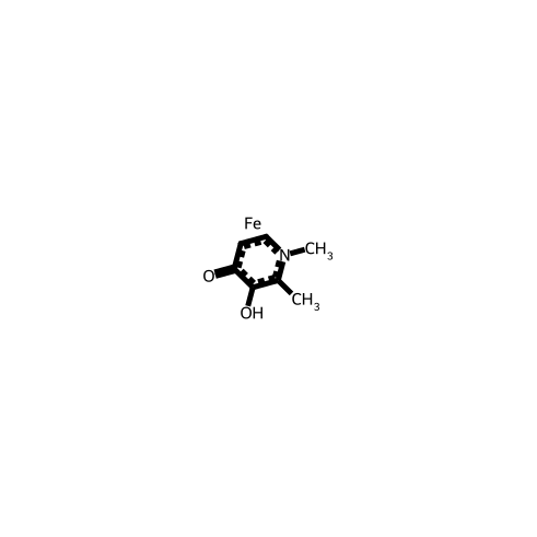 Cc1c(O)c(=O)ccn1C.[Fe]